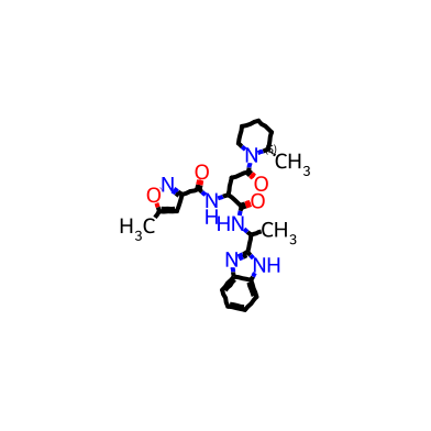 Cc1cc(C(=O)NC(CC(=O)N2CCCC[C@@H]2C)C(=O)NC(C)c2nc3ccccc3[nH]2)no1